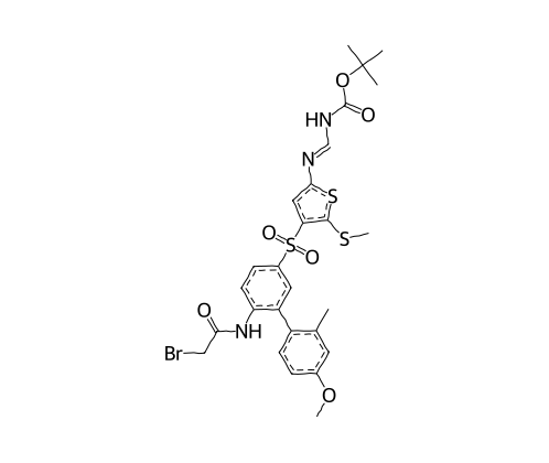 COc1ccc(-c2cc(S(=O)(=O)c3cc(N=CNC(=O)OC(C)(C)C)sc3SC)ccc2NC(=O)CBr)c(C)c1